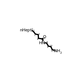 CCCCCCCCCCCC(=O)NCCCCN